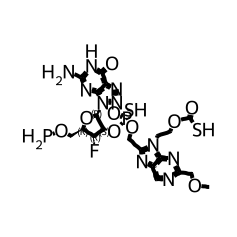 COCc1ncc2nc(COP(=O)(S)O[C@@H]3[C@H](F)[C@@H](COP)O[C@H]3n3nnc4c(=O)[nH]c(N)nc43)n(CCOC(=O)S)c2n1